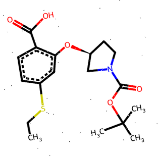 CCSc1ccc(C(=O)O)c(O[C@H]2CCN(C(=O)OC(C)(C)C)C2)c1